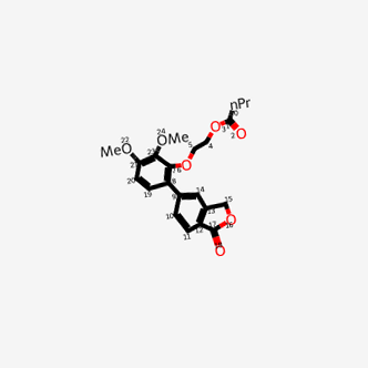 CCCC(=O)OCCOc1c(-c2ccc3c(c2)COC3=O)ccc(OC)c1OC